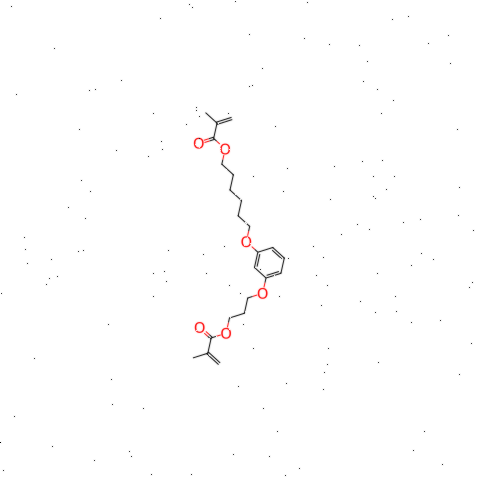 C=C(C)C(=O)OCCCCCCOc1cccc(OCCCOC(=O)C(=C)C)c1